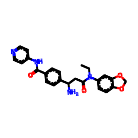 CCN(C(=O)CC(N)c1ccc(C(=O)Nc2ccncc2)cc1)c1ccc2c(c1)OCO2